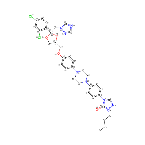 CCCCn1ncn(-c2ccc(N3CCN(c4ccc(OC[C@@H]5CO[C@@](Cn6cncn6)(c6ccc(Cl)cc6Cl)O5)cc4)CC3)cc2)c1=O